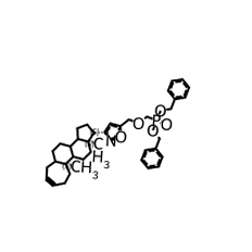 C[C@]12CCC#CCC1CCC1C2CC[C@@]2(C)C1CC[C@@H]2c1cc(COCP(=O)(OCc2ccccc2)OCc2ccccc2)on1